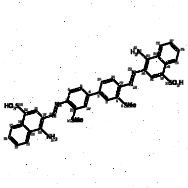 CSc1cc(-c2ccc(/N=N/c3cc(S(=O)(=O)O)c4ccccc4c3N)c(SC)c2)ccc1/N=N/c1cc(S(=O)(=O)O)c2ccccc2c1N